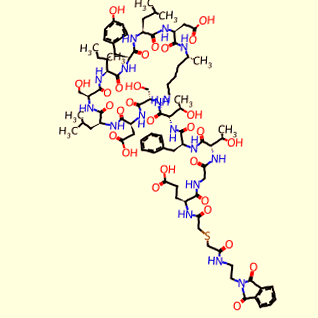 CC[C@H](C)[C@H](NC(=O)[C@H](CO)NC(=O)[C@H](CC(C)C)NC(=O)[C@H](CC(=O)O)NC(=O)[C@H](CO)NC(=O)[C@@H](NC(=O)[C@H](Cc1ccccc1)NC(=O)[C@@H](NC(=O)CNC(=O)[C@H](CCC(=O)O)NC(=O)CSCC(=O)NCCN1C(=O)c2ccccc2C1=O)[C@@H](C)O)[C@@H](C)O)C(=O)N[C@@H](Cc1ccc(O)cc1)C(=O)N[C@@H](CC(C)C)C(=O)N[C@@H](CC(=O)O)C(=O)N[C@H](C)CCCCN